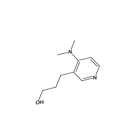 CN(C)c1ccncc1CCCO